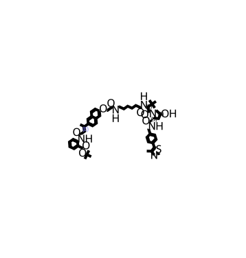 C/C(=C\C(=O)Nc1ccccc1C(=O)OC(C)(C)C)c1ccc2cc(OCC(=O)NCCCCCC(=O)N[C@@H](C(=O)N3C[C@H](O)C[C@H]3C(=O)NCc3ccc(-c4scnc4C)cc3)C(C)(C)C)ccc2c1